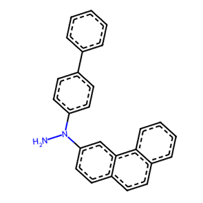 NN(c1ccc(-c2ccccc2)cc1)c1ccc2ccc3ccccc3c2c1